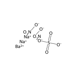 O=S(=O)([O-])[O-].O=[N+]([O-])[O-].O=[N+]([O-])[O-].[Ba+2].[Na+].[Na+]